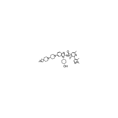 Cc1cc(C(=O)Nc2nc3ccc(N4CCC(N5CCC6(CC5)CN(C)C6)CC4)cc3n2[C@H]2CC[C@@H](O)CC2)c(F)c(-c2cnn(C)c2C)n1